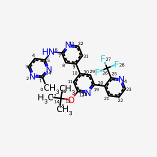 Cc1nccc(Nc2cc(-c3cc(OC(C)(C)C)nc(-c4cccnc4C(F)(F)F)c3)ccn2)n1